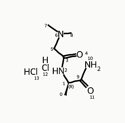 C[C@@H](NC(=O)CN(C)C)C(N)=O.Cl.Cl